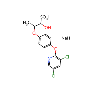 CC(Oc1ccc(Oc2ncc(Cl)cc2Cl)cc1)C(O)S(=O)(=O)O.[NaH]